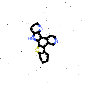 c1cnc2c(c1)[nH]c1c3sc4ccccc4c3c3cnccc3c21